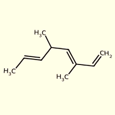 C=CC(C)=CC(C)C=CC